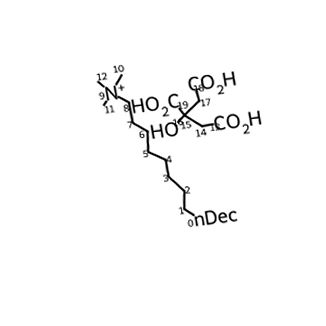 CCCCCCCCCCCCCCCCCC[N+](C)(C)C.O=C(O)CC(O)(CC(=O)O)C(=O)O